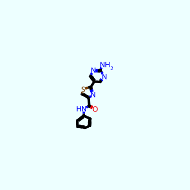 Nc1ncc(-c2nc(C(=O)Nc3ccccc3)cs2)cn1